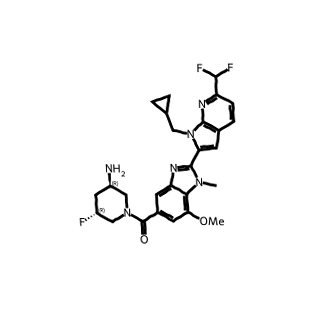 COc1cc(C(=O)N2C[C@H](N)C[C@@H](F)C2)cc2nc(-c3cc4ccc(C(F)F)nc4n3CC3CC3)n(C)c12